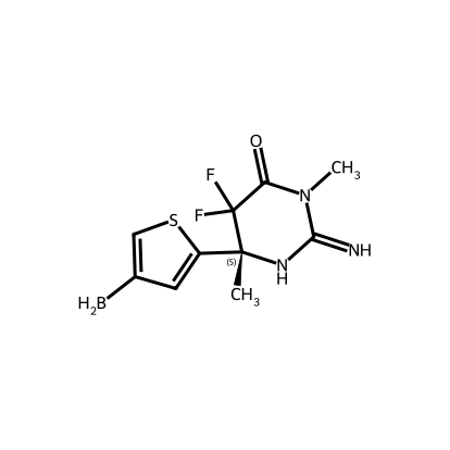 Bc1csc([C@@]2(C)NC(=N)N(C)C(=O)C2(F)F)c1